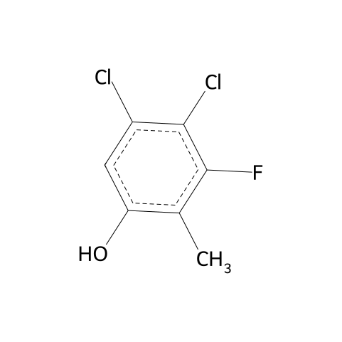 Cc1c(O)cc(Cl)c(Cl)c1F